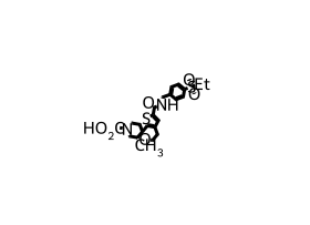 CCS(=O)(=O)c1ccc(CNC(=O)c2cc3c(s2)C2(CCN(C(=O)O)CC2C)OCC3)cc1